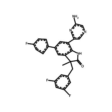 CC1(Cc2cc(F)cc(F)c2)C(=O)Nc2c(-c3cncc(N)n3)cc(-c3ccc(F)cc3)cc21